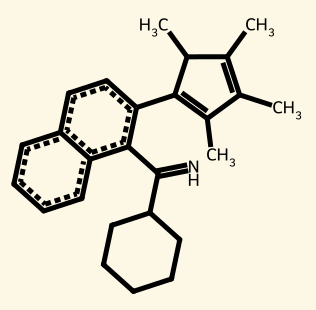 CC1=C(C)C(C)C(c2ccc3ccccc3c2C(=N)C2CCCCC2)=C1C